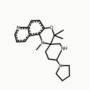 CN1c2c(ccc3ncccc23)OC(C)(C)C12CCC(N1CCCC1)NC2